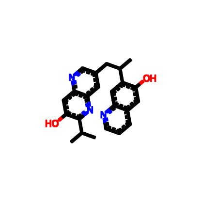 CC(C)c1nc2cc(CC(C)c3cc4ncccc4cc3O)cnc2cc1O